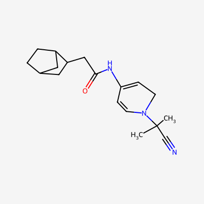 CC(C)(C#N)N1C=CC(NC(=O)CC2CC3CCC2C3)=CC1